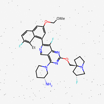 CCc1c(F)ccc2cc(OCOC)cc(-c3ncc4c(N5CCC[C@@H](N)C5)nc(OC[C@@]56CCCN5C[C@H](F)C6)nc4c3F)c12